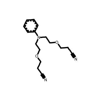 N#CCCOCCN(CCOCCC#N)c1ccccc1